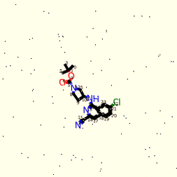 CC(C)(C)OC(=O)N1CCC(Nc2nc(C#N)cc3ccc(Cl)cc23)C1